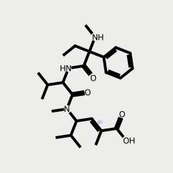 CCC(NC)(C(=O)NC(C(=O)N(C)C(/C=C(\C)C(=O)O)C(C)C)C(C)C)c1ccccc1